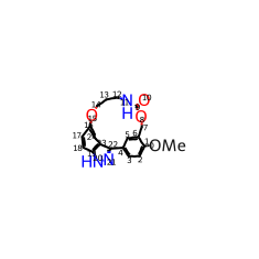 COc1ccc2cc1COC(=O)NCCCOc1ccc3[nH]nc-2c3c1